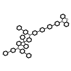 c1ccc(-c2ccc(N(c3ccc(-c4ccc(-c5ccc(-c6ccc(N7c8ccccc8Oc8ccccc87)cc6)cc5)cc4)cc3)c3cccc(C4(c5ccccc5)c5ccccc5-c5c(N(c6ccc(-c7ccccc7)cc6)c6ccc(-c7ccccc7)cc6)cccc54)c3)cc2)cc1